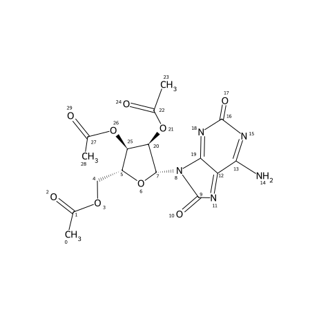 CC(=O)OC[C@H]1O[C@@H](N2C(=O)N=C3C(N)=NC(=O)N=C32)[C@H](OC(C)=O)[C@@H]1OC(C)=O